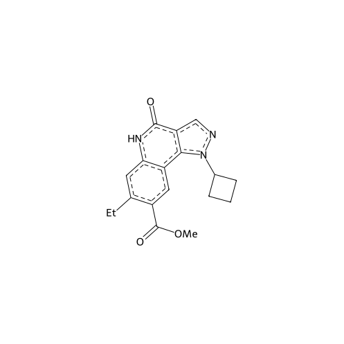 CCc1cc2[nH]c(=O)c3cnn(C4CCC4)c3c2cc1C(=O)OC